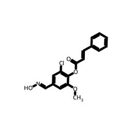 COc1cc(/C=N/O)cc(Cl)c1OC(=O)/C=C/c1ccccc1